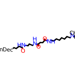 CCCCCCCCCCCCCC(=O)NCCCNC(=O)CCC(=O)NCCCCCCCCN(C)C